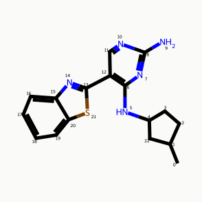 CC1CCC(Nc2nc(N)ncc2-c2nc3ccccc3s2)C1